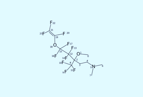 COC(CCN(C)C)(C(F)(F)F)C(F)(F)C(F)(F)OC(F)=C(F)F